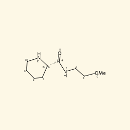 COCCNC(=O)[C@@H]1CCCCN1